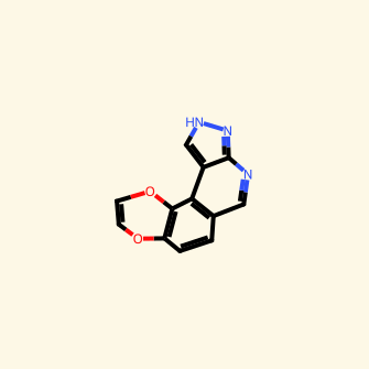 C1=COc2c(ccc3cnc4n[nH]cc4c23)O1